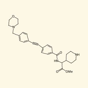 COC(=O)C(NC(=O)c1ccc(C#Cc2ccc(CN3CCOCC3)cc2)cc1)C1CCNCC1